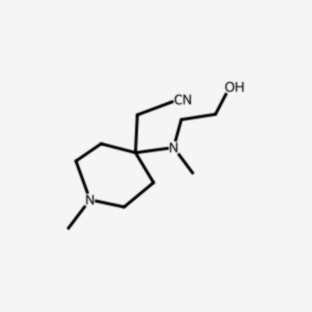 CN1CCC(CC#N)(N(C)CCO)CC1